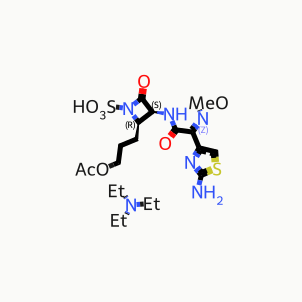 CCN(CC)CC.CO/N=C(\C(=O)N[C@@H]1C(=O)N(S(=O)(=O)O)[C@@H]1CCCOC(C)=O)c1csc(N)n1